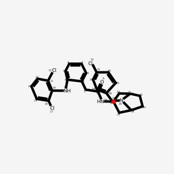 O=C(Cc1ccccc1Nc1c(Cl)cccc1Cl)NC1CC2CCC(C1)N2Cc1ccc(Cl)cc1